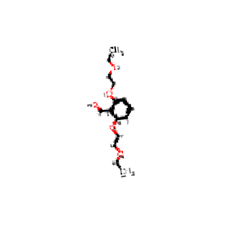 CCOCCOc1cccc(OCCOCC)c1C=O